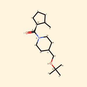 CC1CCC[C@@H]1C(=O)N1CCC(COC(C)(C)C)CC1